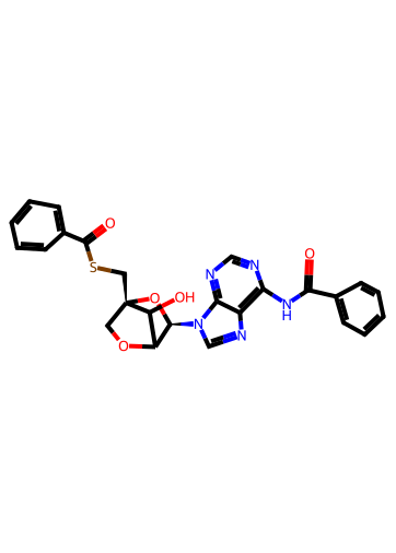 O=C(Nc1ncnc2c1ncn2[C@@H]1O[C@@]2(CSC(=O)c3ccccc3)COC1C2O)c1ccccc1